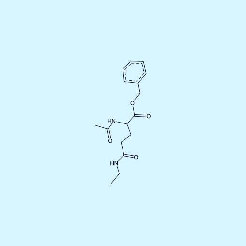 CCNC(=O)CCC(NC(C)=O)C(=O)OCc1ccccc1